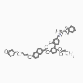 C=CC(=O)Oc1ccc(OC(=O)c2ccc3cc(OCCCOCC4CCC5OC5C4)ccc3c2)cc1-c1ccc(/C=N/Nc2nc3ccccc3s2)cc1F